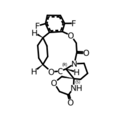 O=C1COC[C@@]2(CCCN3C(=O)COc4c(F)ccc(F)c4[C@H]4CC[C@H](CC4)OC[C@H]32)N1